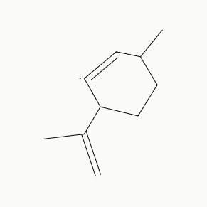 C=C(C)C1[C]=CC(C)CC1